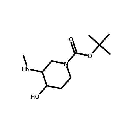 CNC1CN(C(=O)OC(C)(C)C)CCC1O